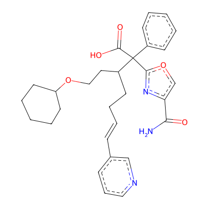 NC(=O)c1coc(C(C(=O)O)(c2ccccc2)C(CCC=Cc2cccnc2)CCOC2CCCCC2)n1